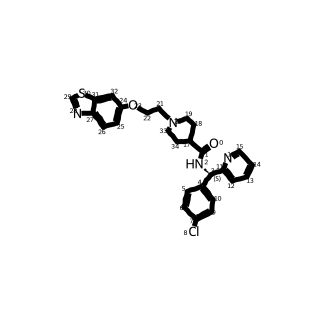 O=C(N[C@@H](c1ccc(Cl)cc1)c1ccccn1)C1CCN(CCOc2ccc3ncsc3c2)CC1